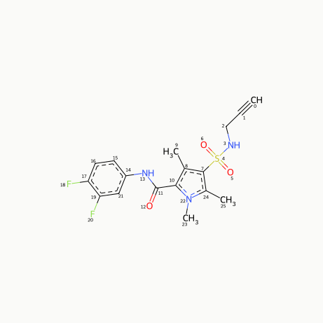 C#CCNS(=O)(=O)c1c(C)c(C(=O)Nc2ccc(F)c(F)c2)n(C)c1C